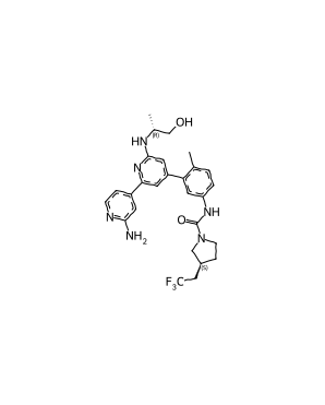 Cc1ccc(NC(=O)N2CC[C@@H](CC(F)(F)F)C2)cc1-c1cc(N[C@H](C)CO)nc(-c2ccnc(N)c2)c1